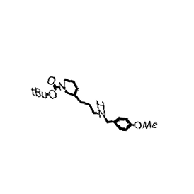 COc1ccc(CNCCCC2CCCN(C(=O)OC(C)(C)C)C2)cc1